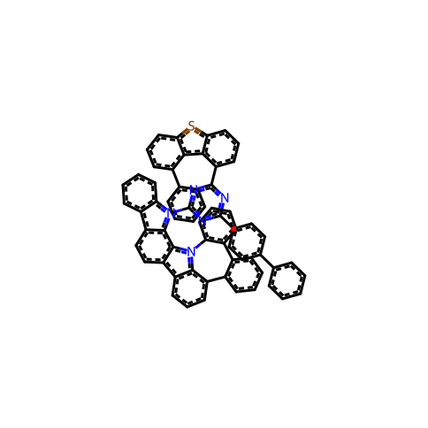 c1ccc(-c2ccc(-c3nc(-c4cccc5sc6cccc(-c7ccccc7)c6c45)nc(-n4c5ccccc5c5ccc6c7cccc8c7n(c6c54)-c4ccccc4-c4ccccc4-8)n3)cc2)cc1